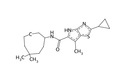 Cc1c(C(=O)NC2CCCCC(C)(C)CC2)[nH]c2nc(C3CC3)sc12